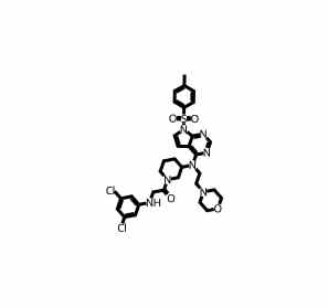 Cc1ccc(S(=O)(=O)n2ccc3c(N(CCN4CCOCC4)C4CCCN(C(=O)CNc5cc(Cl)cc(Cl)c5)C4)ncnc32)cc1